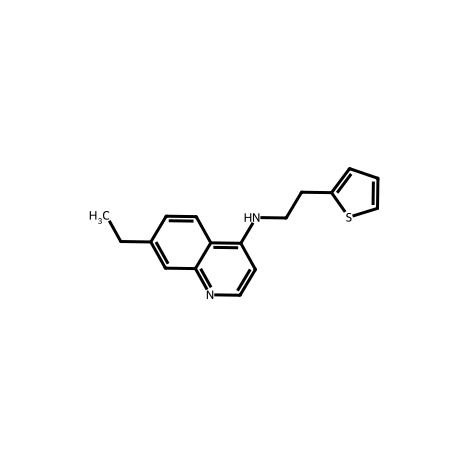 CCc1ccc2c(NCCc3cccs3)ccnc2c1